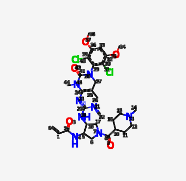 C=CC(=O)NC1CN(C(=O)C2CCN(C)CC2)CC1N/C(N=C)=N/C1=C(C)CN(c2c(Cl)c(OC)cc(OC)c2Cl)C(=O)N1C